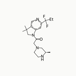 CCC(F)(F)c1cc2c(cn1)C(C)(C)CN2C(=O)CN1CCN[C@H](C)C1